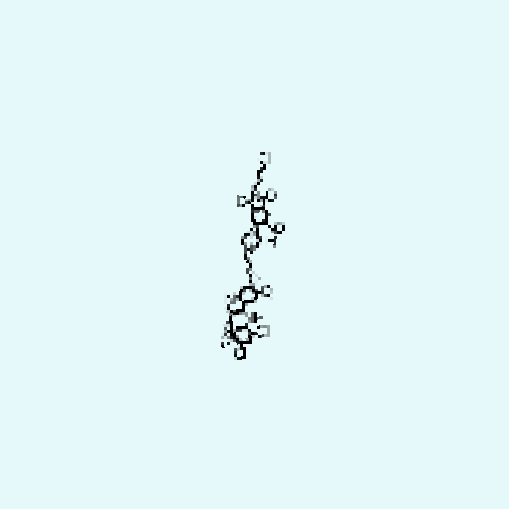 CONc1cc2c(cc1N1CCN(CCCOc3cc4ncc(C#N)c(Nc5cc(OC)c(Cl)cc5Cl)c4cc3OC)CC1)C(=O)N(CCCCCl)C2=O